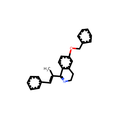 C/C(=C\c1ccccc1)C1=NCCc2cc(OCc3ccccc3)ccc21